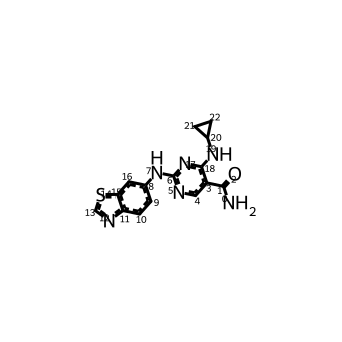 NC(=O)c1cnc(Nc2ccc3ncsc3c2)nc1NC1CC1